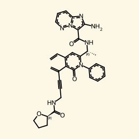 C=Cc1cc([C@@H](C)NC(=O)c2c(N)nc3cccnn23)n(-c2ccccc2)c(=O)c1C(=C)C#CCNC(=O)[C@H]1CCCO1